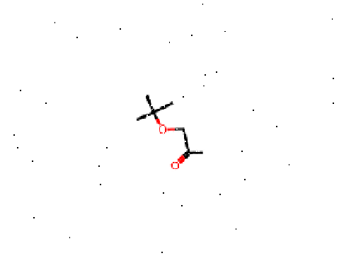 CC(=O)COC(C)(C)C